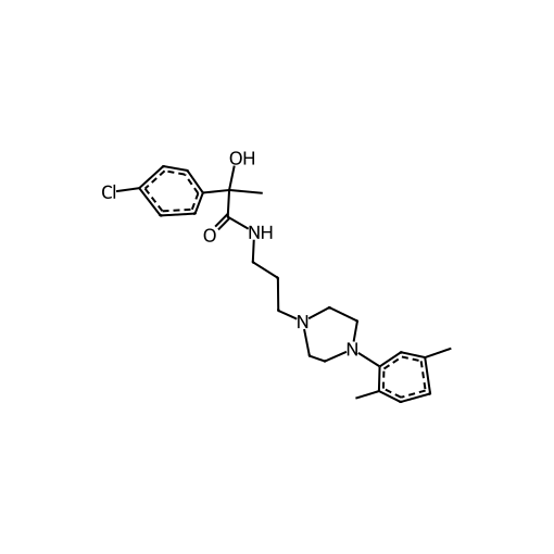 Cc1ccc(C)c(N2CCN(CCCNC(=O)C(C)(O)c3ccc(Cl)cc3)CC2)c1